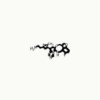 Cn1nc(CCN)cc1-c1cc2c(n3cnnc13)NCc1c(F)ccc3c1[C@H](CO3)CO2